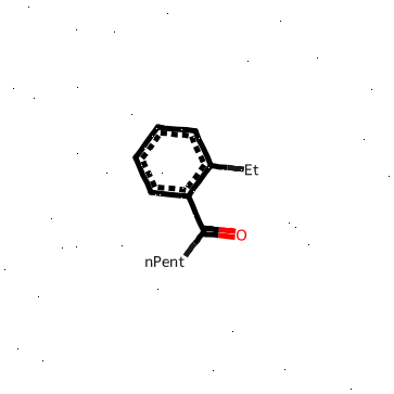 CCCCCC(=O)c1ccccc1CC